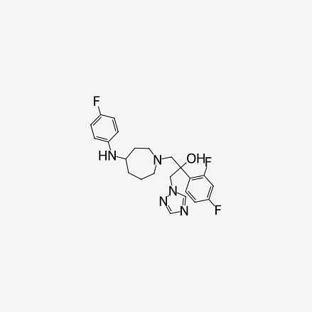 OC(CN1CCCC(Nc2ccc(F)cc2)CC1)(Cn1cncn1)c1ccc(F)cc1F